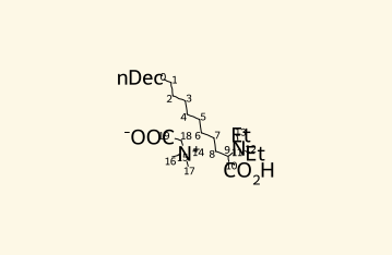 CCCCCCCCCCCCCCCCCCC(C(=O)O)N(CC)CC.C[N+](C)(C)CC(=O)[O-]